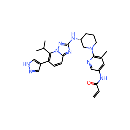 C=CC(=O)Nc1cnc(N2CCC[C@@H](Nc3nc4ccc(-c5cn[nH]c5)c(C(C)C)n4n3)C2)c(C)c1